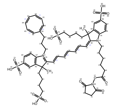 CC1(CCCCS(=O)(=O)O)C(/C=C/C=C/C=C/C=C2/N(CCCCCC(=O)ON3C(=O)CCC3=O)c3ccc(S(=O)(=O)O)cc3C2(C)CCCCS(=O)(=O)O)=[N+](CCCC2=C/C=C\C=C/C=C\2)c2ccc(S(=O)(=O)O)cc21